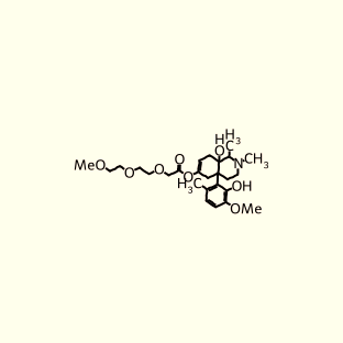 COCCOCCOCC(=O)OC1=CCC2(O)C(C)N(C)CCC2(c2c(C)ccc(OC)c2O)C1